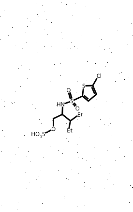 CCC(CC)C(COS(=O)(=O)O)NS(=O)(=O)c1ccc(Cl)s1